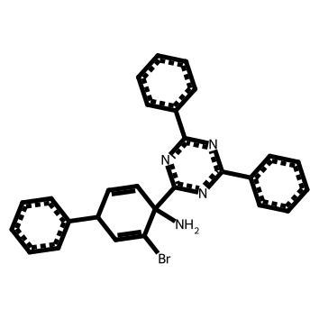 NC1(c2nc(-c3ccccc3)nc(-c3ccccc3)n2)C=CC(c2ccccc2)C=C1Br